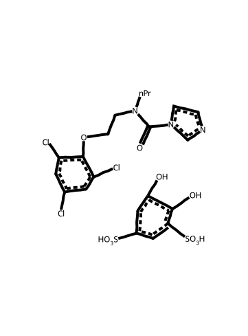 CCCN(CCOc1c(Cl)cc(Cl)cc1Cl)C(=O)n1ccnc1.O=S(=O)(O)c1cc(O)c(O)c(S(=O)(=O)O)c1